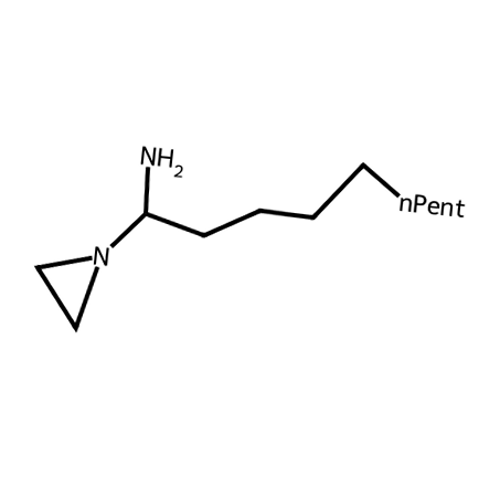 CCCCCCCCCC(N)N1CC1